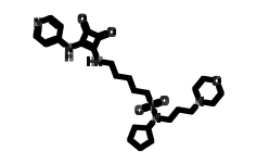 O=c1c(NCCCCCS(=O)(=O)N(CCCN2CCOCC2)C2CCCC2)c(Nc2ccncc2)c1=O